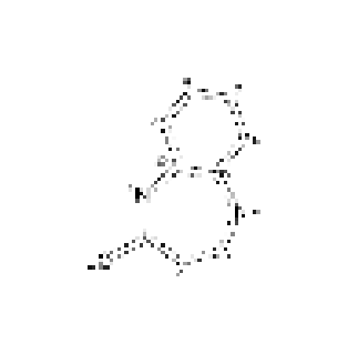 O=c1[c]cnc2ccccc2n1